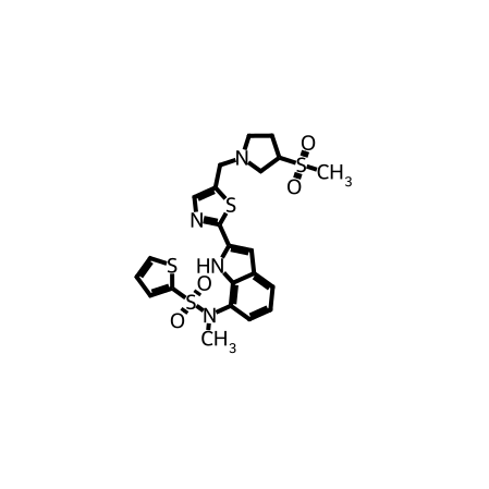 CN(c1cccc2cc(-c3ncc(CN4CCC(S(C)(=O)=O)C4)s3)[nH]c12)S(=O)(=O)c1cccs1